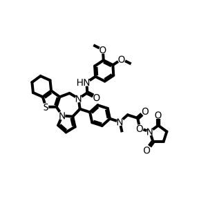 COc1ccc(NC(=O)N2Cc3c(sc4c3CCCC4)-n3cccc3C2c2ccc(N(C)CC(=O)ON3C(=O)CCC3=O)cc2)cc1OC